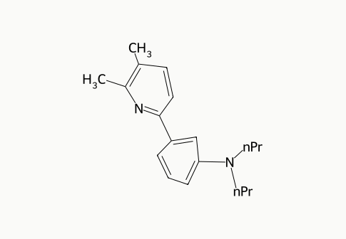 CCCN(CCC)c1cccc(-c2ccc(C)c(C)n2)c1